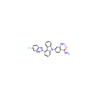 NC(=O)c1ccc(-n2c3ccccc3c3c(-c4nc5ccc(F)cc5[nH]4)cccc32)cc1N